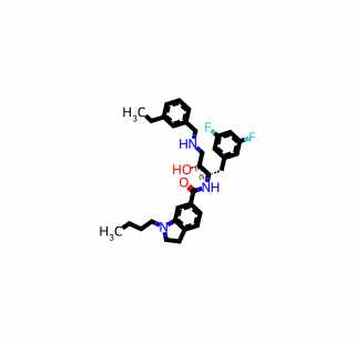 CCCCN1CCc2ccc(C(=O)N[C@@H](Cc3cc(F)cc(F)c3)[C@H](O)CNCc3cccc(CC)c3)cc21